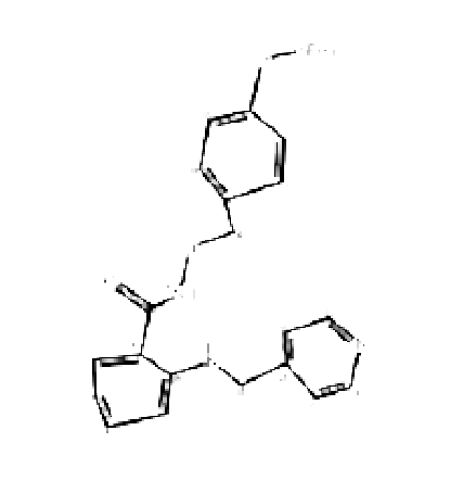 CCCCCOc1ccc(CONC(=O)c2ccccc2NCc2ccncc2)cc1